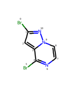 Brc1cc2c(Br)nccn2n1